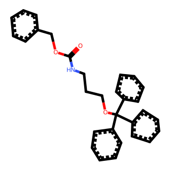 O=C(NCCCOC(c1ccccc1)(c1ccccc1)c1ccccc1)OCc1ccccc1